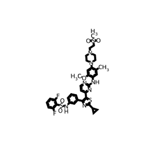 COc1cc(N2CCN(CCS(C)(=O)=O)CC2)c(C)cc1Nc1nccc(-c2sc(C3CC3)nc2-c2cccc(NS(=O)(=O)c3c(F)cccc3F)c2)n1